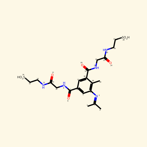 CC(C)=Nc1cc(C(=O)NCC(=O)NCCS(=O)(=O)O)cc(C(=O)NCC(=O)NCCS(=O)(=O)O)c1C